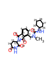 CN(Cc1cccc2c1C(=O)N(C1CCC(=O)NC1=O)C2=O)C(=O)NC1CCCCC1